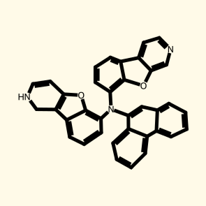 C1=Cc2oc3c(N(c4cc5ccccc5c5ccccc45)c4cccc5c4oc4cnccc45)cccc3c2CN1